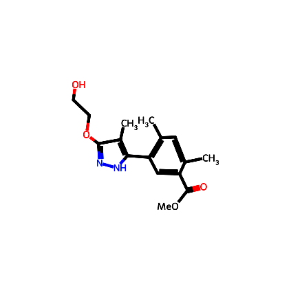 COC(=O)c1cc(-c2[nH]nc(OCCO)c2C)c(C)cc1C